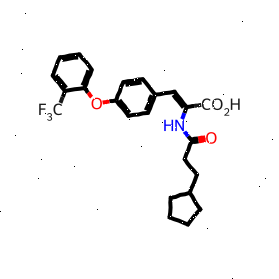 O=C(CCC1CCCC1)NC(=Cc1ccc(Oc2ccccc2C(F)(F)F)cc1)C(=O)O